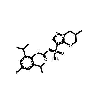 CC1COc2c(S(N)(=O)=NC(=O)Nc3c(C(C)C)cc(F)cc3C(C)C)cnn2C1